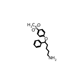 CS(=O)(=O)c1ccc(OC(CCCCN)c2ccccc2)cc1